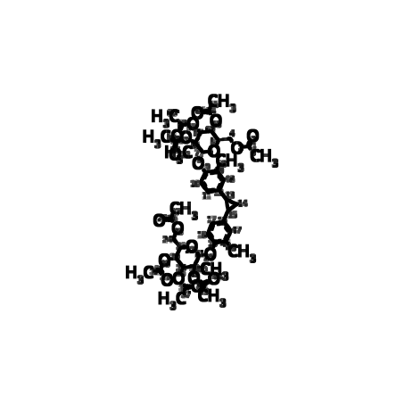 CC(=O)OC[C@H]1O[C@H](Oc2ccc(C3CC3c3ccc(O[C@H]4O[C@H](COC(C)=O)[C@@H](OC(C)=O)[C@H](OC(C)=O)[C@]4(C)OC(C)=O)c(C)c3)cc2C)[C@@](C)(OC(C)=O)[C@@H](OC(C)=O)[C@@H]1OC(C)=O